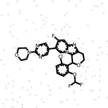 Fc1cc2nc3c(n2cc1-c1cnc(N2CCOCC2)nc1)C(c1c(Cl)cccc1OC(F)F)OCC3